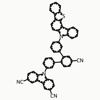 N#Cc1ccc(-c2cccc(-n3c4ccc(C#N)cc4c4cc(C#N)ccc43)c2)c(-c2cccc(-n3c4ccccc4c4c5sc6ccccc6c5ccc43)c2)c1